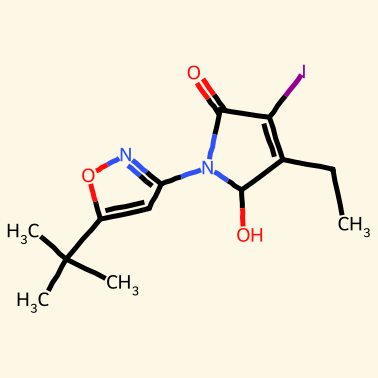 CCC1=C(I)C(=O)N(c2cc(C(C)(C)C)on2)C1O